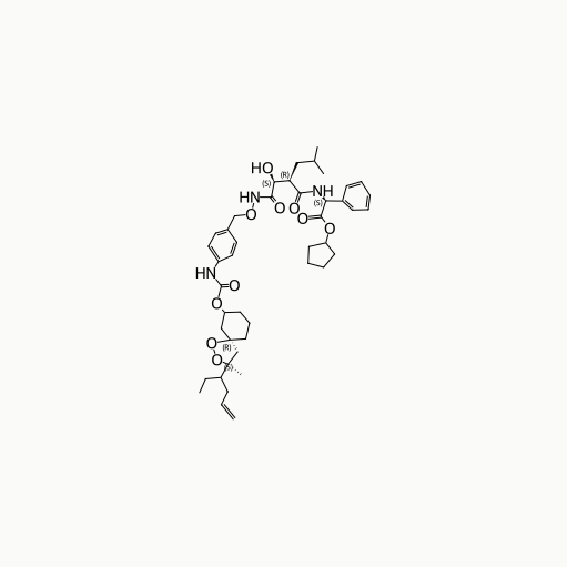 C=CCC(CC)[C@]1(C)C[C@]2(CCCC(OC(=O)Nc3ccc(CONC(=O)[C@@H](O)[C@@H](CC(C)C)C(=O)N[C@H](C(=O)OC4CCCC4)c4ccccc4)cc3)C2)OO1